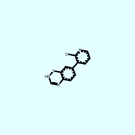 Clc1ncccc1-c1ccc2c(c1)SNC=N2